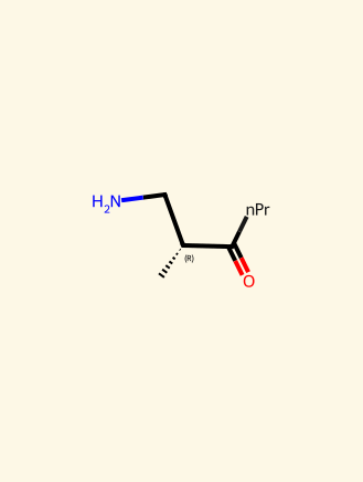 CCCC(=O)[C@H](C)CN